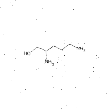 NCCCC(N)CO